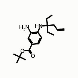 C=CCC(CC)(CC)Nc1ccc(C(=O)OC(C)(C)C)cc1N